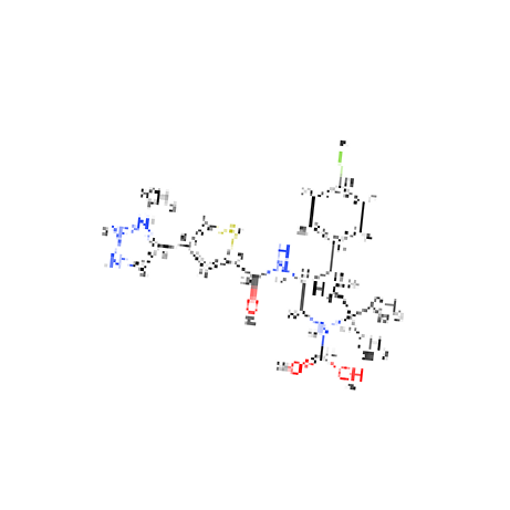 Cn1nncc1-c1csc(C(=O)N[C@H](Cc2ccc(F)cc2)CN(C(=O)O)C(C)(C)C)c1